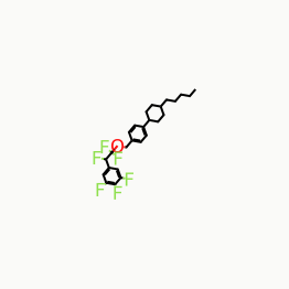 CCCCCC1CCC(c2ccc(COC(F)(F)C(F)c3cc(F)c(F)c(F)c3)cc2)CC1